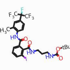 Cc1cc(C(F)(C(F)(F)F)C(F)(F)F)ccc1NC(=O)c1cccc(I)c1C(=O)NCCCNC(=O)OC(C)(C)C